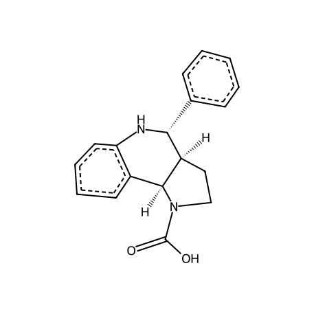 O=C(O)N1CC[C@@H]2[C@@H](c3ccccc3)Nc3ccccc3[C@@H]21